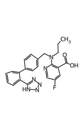 CCCN(Cc1ccc(-c2ccccc2-c2nnn[nH]2)cc1)c1ncc(F)cc1C(=O)O